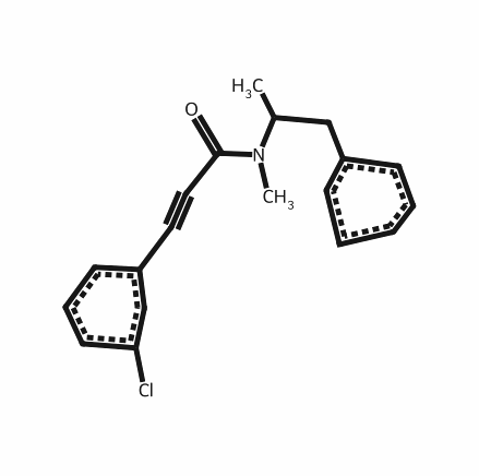 CC(Cc1ccccc1)N(C)C(=O)C#Cc1cccc(Cl)c1